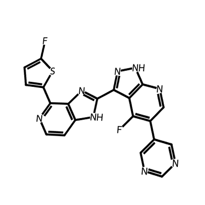 Fc1ccc(-c2nccc3[nH]c(-c4n[nH]c5ncc(-c6cncnc6)c(F)c45)nc23)s1